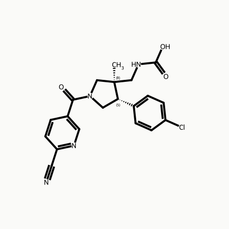 C[C@@]1(CNC(=O)O)CN(C(=O)c2ccc(C#N)nc2)C[C@H]1c1ccc(Cl)cc1